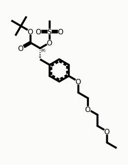 CCOCCOCCOc1ccc(C[C@@H](OS(C)(=O)=O)C(=O)OC(C)(C)C)cc1